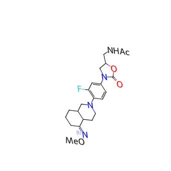 CO/N=C1\CCCC2CN(c3ccc(N4CC(CNC(C)=O)OC4=O)cc3F)CCC12